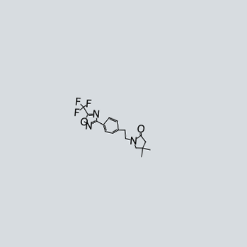 CC1(C)CC(=O)N(CCc2ccc(-c3noc(C(F)(F)F)n3)cc2)C1